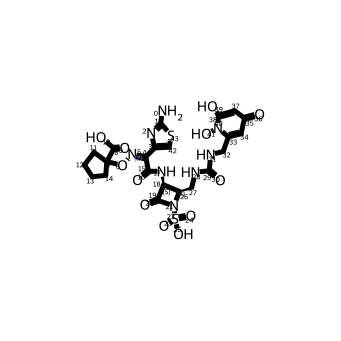 Nc1nc(/C(=N/OC2(C(=O)O)CCCC2)C(=O)N[C@@H]2C(=O)N(S(=O)(=O)O)[C@@H]2CNC(=O)NCc2cc(=O)cc(O)n2O)cs1